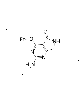 CCOc1nc(N)nc2c1C(=O)NC2